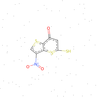 O=c1cc(S)sc2c([N+](=O)[O-])csc12